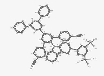 N#Cc1ccc(-c2cc(-c3cc(-c4ccccc4)nc(-c4ccccc4)n3)cc(-c3ccc(C#N)cc3)c2-n2c3ccccc3c3cc(-c4cc(C(F)(F)F)cc(C(F)(F)F)c4)ccc32)cc1